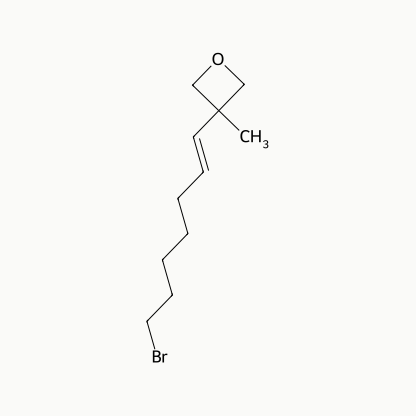 CC1(/C=C/CCCCCBr)COC1